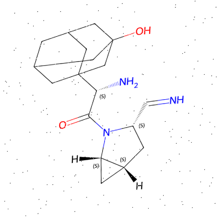 N=C[C@@H]1C[C@@H]2C[C@@H]2N1C(=O)[C@@H](N)C12CC3CC(CC(O)(C3)C1)C2